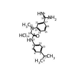 CC(C)c1ccc(NC(=O)CN(C)c2cccc(C(=N)N)c2)cc1.Cl